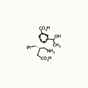 CC(C)C[C@H](CN)CC(=O)O.CC(O)c1cccc(C(=O)O)c1